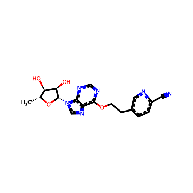 C[C@H]1O[C@@H](n2cnc3c(OCCc4ccc(C#N)nc4)ncnc32)[C@H](O)[C@@H]1O